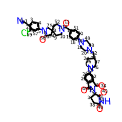 N#Cc1ccc(N2CC3(CCN(C(=O)c4ccc(N5CCN(CC6CCN(c7ccc8c(c7)C(=O)N(C7CCC(=O)NC7=O)C8=O)CC6)CC5)cc4)CC3)CC2=O)cc1Cl